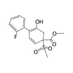 COC(=O)C1(S(C)(=O)=O)C=CC(c2ccccc2F)=C(O)C1